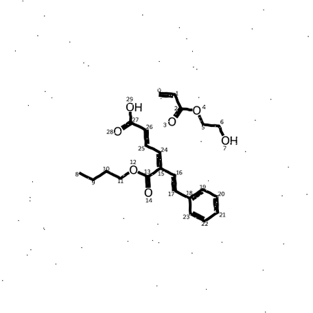 C=CC(=O)OCCO.CCCCOC(=O)C(C=Cc1ccccc1)=CC=CC(=O)O